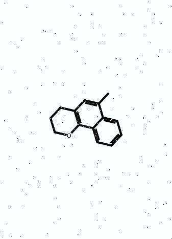 Cc1cc2c(c3ccccc13)OCCC2